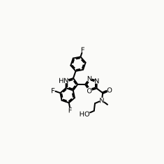 CN(CCO)C(=O)c1nnc(-c2c(-c3ccc(F)cc3)[nH]c3c(F)cc(F)cc23)o1